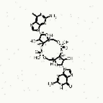 Cc1nc(N)nc2c1ncn2[C@@H]1O[C@@H]2COP(=O)(O)O[C@@H]3C(O)[C@H](n4cnc5c(=O)[nH]c(N)nc54)O[C@@H]3COP(=O)(O)O[C@@H]2C1O